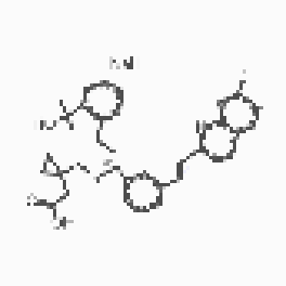 CC(C)(O)c1ccccc1CC[C@@H](SCC1(CC(=O)O)CC1)c1cccc(/C=C/c2ccc3ccc(Cl)cc3n2)c1.[NaH]